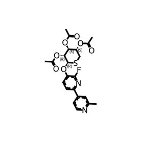 CC(=O)O[C@@H]1[C@@H](OC(C)=O)[C@H](OC(C)=O)CS[C@H]1Oc1ccc(-c2ccnc(C)c2)nc1F